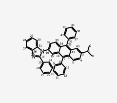 CC(C)c1ccc2c(-c3ccccc3)c3cc(-n4c(-c5ccccc5)nc5ccccc54)ccc3c(-c3ccccc3)c2c1